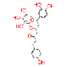 O=C(CCC1=CC=C(O)CC1)CC(CCc1ccc(O)c(O)c1)OC1OC[C@@H](O)C(O)[C@H]1O